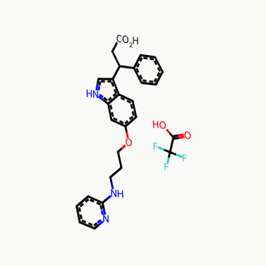 O=C(O)C(F)(F)F.O=C(O)CC(c1ccccc1)c1c[nH]c2cc(OCCCNc3ccccn3)ccc12